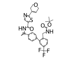 C[C@@H](NC(=O)c1cnc(C2=CCOCC2)s1)c1ccc(-c2cc(C(F)(F)F)ccc2CNC(=O)OC(C)(C)C)cc1